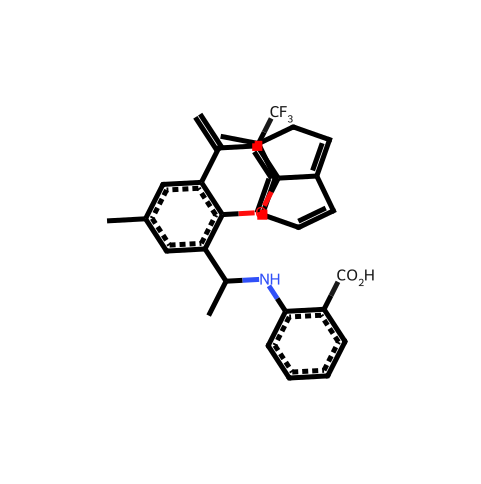 C=C1C(C(F)(F)F)=C(C2=C\CC(C)/C=C/C=C\2)Oc2c1cc(C)cc2C(C)Nc1ccccc1C(=O)O